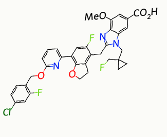 COc1cc(C(=O)O)cc2c1nc(Cc1c(F)cc(-c3cccc(OCc4ccc(Cl)cc4F)n3)c3c1CCO3)n2CC1(CF)CC1